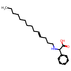 CCCCCCCCCC=CCCCNC(C(=O)O)c1ccccc1